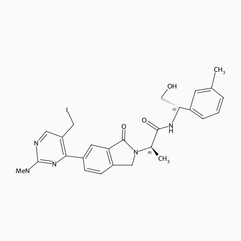 CNc1ncc(CI)c(-c2ccc3c(c2)C(=O)N([C@H](C)C(=O)N[C@H](CO)c2cccc(C)c2)C3)n1